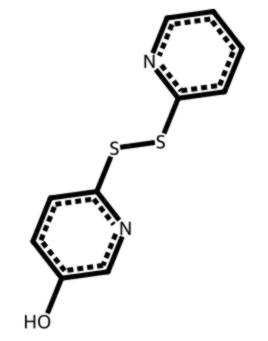 Oc1ccc(SSc2ccccn2)nc1